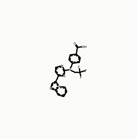 O=C(O)c1ccc(N(CC(F)(F)F)c2nccc(-c3cnc4ccccn34)n2)cc1